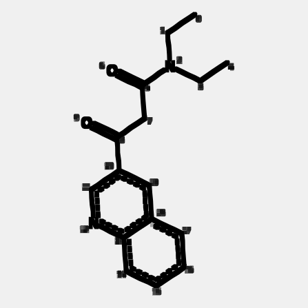 CCN(CC)C(=O)CC(=O)c1cnc2ccccc2c1